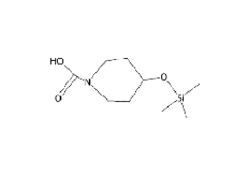 C[Si](C)(C)OC1CCN(C(=O)O)CC1